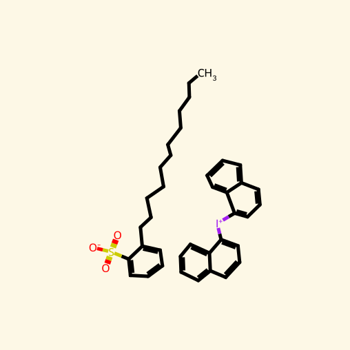 CCCCCCCCCCCCc1ccccc1S(=O)(=O)[O-].c1ccc2c([I+]c3cccc4ccccc34)cccc2c1